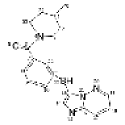 CC1CCN(C(=O)c2cccc(Bc3cnc4cccnn34)c2)CC1